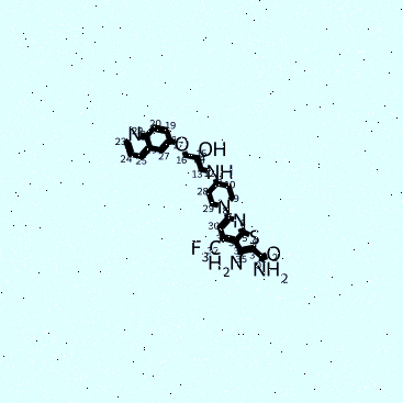 NC(=O)c1sc2nc(N3CCC(NC[C@H](O)COc4ccc5ncccc5c4)CC3)cc(C(F)(F)F)c2c1N